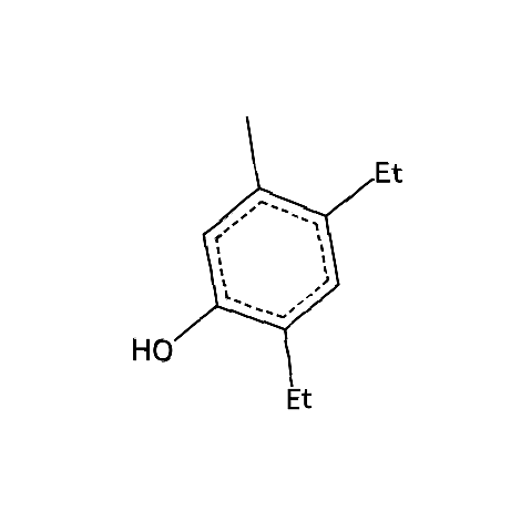 CCc1cc(CC)c(O)cc1C